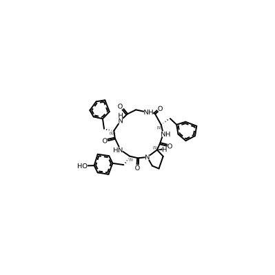 O=C1CNC(=O)[C@H](Cc2ccccc2)NC(=O)[C@@H]2CCCN2C(=O)[C@H](Cc2ccc(O)cc2)NC(=O)[C@H](Cc2ccccc2)N1